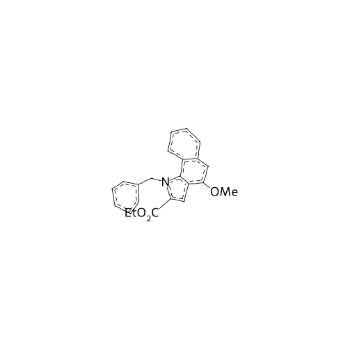 CCOC(=O)c1cc2c(OC)cc3ccccc3c2n1Cc1ccccc1